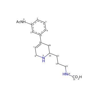 CC(=O)Nc1cccc(C2=CCNC(CCCNC(=O)O)C2)c1